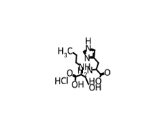 CCCNC(CCO)C(=O)O.Cl.NC(Cc1c[nH]cn1)C(=O)O